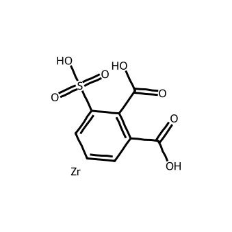 O=C(O)c1cccc(S(=O)(=O)O)c1C(=O)O.[Zr]